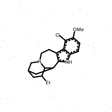 CCC1CC2CC3c4[nH]c5ccc(OC)c(Cl)c5c4CCN(C2)C13